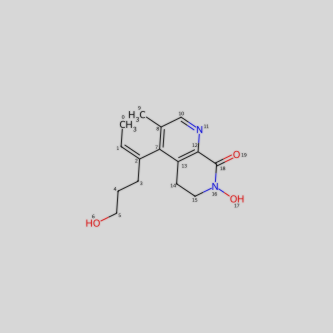 C/C=C(/CCCO)c1c(C)cnc2c1CCN(O)C2=O